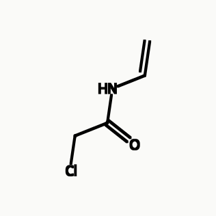 C=CNC(=O)CCl